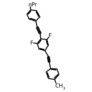 CCCc1ccc(C#Cc2c(F)cc(C#Cc3ccc(C)cc3)cc2F)cc1